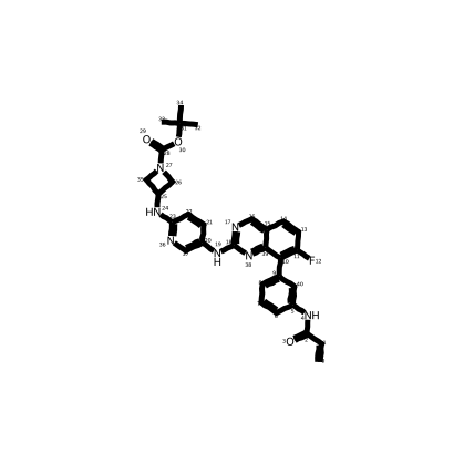 C=CC(=O)Nc1cccc(-c2c(F)ccc3cnc(Nc4ccc(NC5CN(C(=O)OC(C)(C)C)C5)nc4)nc23)c1